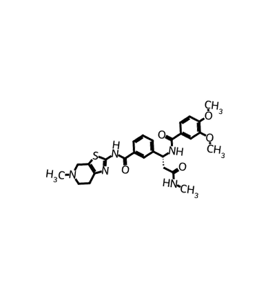 CNC(=O)C[C@@H](NC(=O)c1ccc(OC)c(OC)c1)c1cccc(C(=O)Nc2nc3c(s2)CN(C)CC3)c1